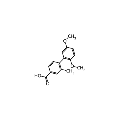 COc1ccc(OC)c(-c2ccc(C(=O)O)cc2C)c1